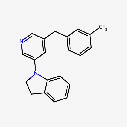 FC(F)(F)c1cccc(Cc2cncc(N3CCc4ccccc43)c2)c1